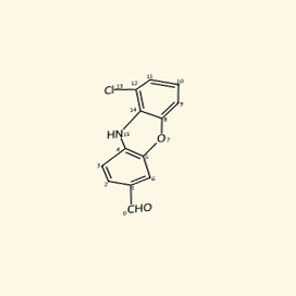 O=Cc1ccc2c(c1)Oc1cccc(Cl)c1N2